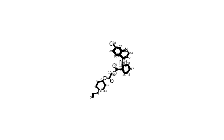 C=CCN1CCC(OC(=O)COC(=O)c2ccccc2Nc2ccnc3cc(Cl)ccc23)CC1